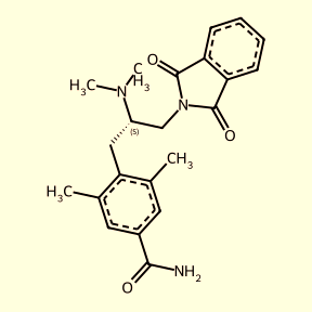 Cc1cc(C(N)=O)cc(C)c1C[C@@H](CN1C(=O)c2ccccc2C1=O)N(C)C